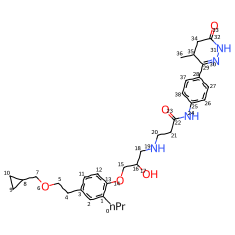 CCCc1cc(CCOCC2CC2)ccc1OCC(O)CNCCC(=O)Nc1ccc(C2=NNC(=O)CC2C)cc1